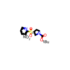 CC(C)(C)OC(=O)N1CC[C@@H](S(=O)(=O)c2ncccc2[N+](=O)[O-])C1